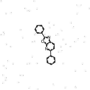 c1ccc(-c2ccc3nc(-c4ccccc4)oc3n2)cc1